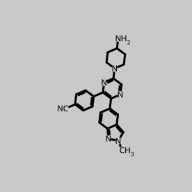 Cn1cc2cc(-c3ncc(N4CCC(N)CC4)nc3-c3ccc(C#N)cc3)ccc2n1